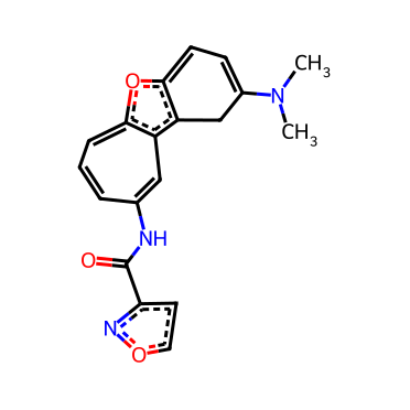 CN(C)C1=CC=c2oc3c(c2C1)C=C(NC(=O)c1ccon1)C=CC=3